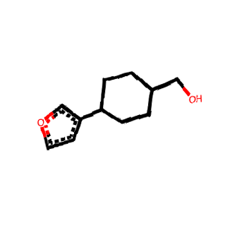 OCC1CCC(c2ccoc2)CC1